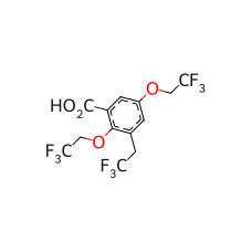 O=C(O)c1cc(OCC(F)(F)F)cc(CC(F)(F)F)c1OCC(F)(F)F